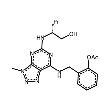 CC(=O)Oc1ccccc1CNc1nc(N[C@@H](CO)C(C)C)nc2c1nnn2C